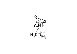 CC(CCC(=O)NC1(c2nccs2)C=CC(=O)O1)C(=N)N